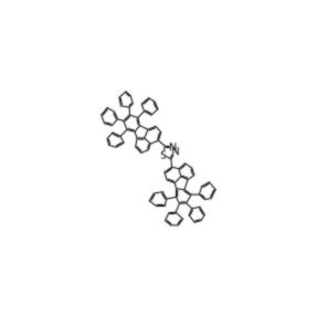 c1ccc(-c2c(-c3ccccc3)c(-c3ccccc3)c3c(c2-c2ccccc2)-c2cccc4c(-c5nnc(-c6ccc7c8c(cccc68)-c6c(-c8ccccc8)c(-c8ccccc8)c(-c8ccccc8)c(-c8ccccc8)c6-7)s5)ccc-3c24)cc1